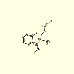 C/C=C(\c1ccccc1C)C(CCC=S)C(C)C